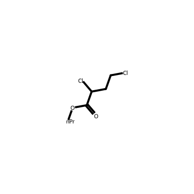 CCCOC(=O)C(Cl)CCCl